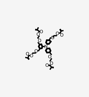 C=C(C)C(=O)OCCOCc1ccc(N(c2ccc(COCCOC(=O)C(=C)C)cc2)c2cc(COCCOC(=O)C(=C)C)cc(COCCOC(=O)C(=C)C)c2)cc1